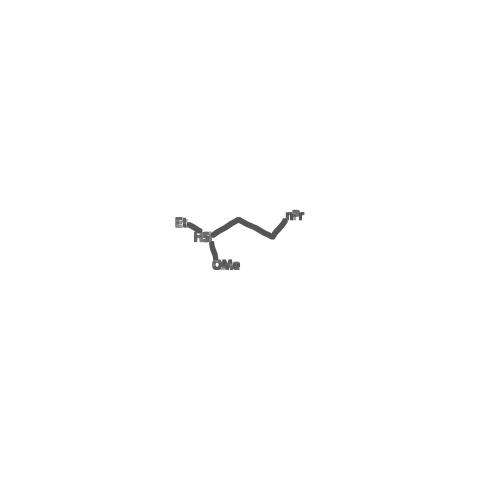 CCCCC[SiH](CC)OC